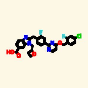 O=C(O)c1ccc2nc(Cc3ccc(-c4nccc(OCc5ccc(Cl)cc5F)n4)cc3F)n(C[C@@H]3CCO3)c2c1